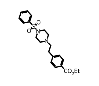 CCOC(=O)c1ccc(CCN2CCN(S(=O)(=O)c3ccccc3)CC2)cc1